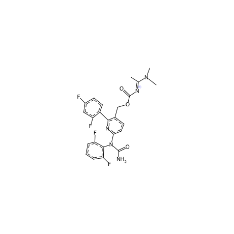 C/C(=N\C(=O)OCc1ccc(N(C(N)=O)c2c(F)cccc2F)nc1-c1ccc(F)cc1F)N(C)C